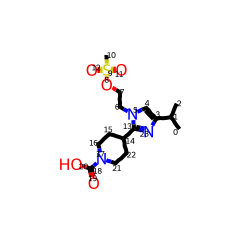 CC(C)c1cn(CCOS(C)(=O)=O)c(C2CCN(C(=O)O)CC2)n1